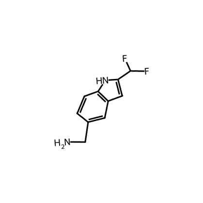 NCc1ccc2[nH]c(C(F)F)cc2c1